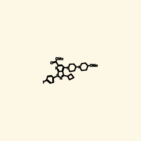 COC(=O)c1cc(N2CCC(N3CCC(OC)CC3)CC2)c2c(C3CCC3)nn(-c3ccc(F)cc3)c2n1